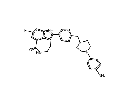 Nc1ccc(N2CCN(Cc3ccc(-c4[nH]c5cc(F)cc6c5c4CCNC6=O)cc3)CC2)cc1